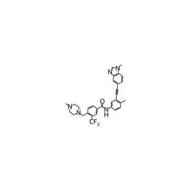 Cc1ccc(NC(=O)c2ccc(CN3CCN(C)CC3)c(C(F)(F)F)c2)cc1C#Cc1ccc2c(c1)ncn2C